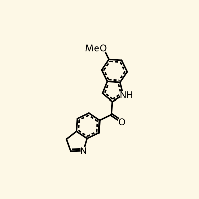 COc1ccc2[nH]c(C(=O)c3ccc4c(c3)N=CC4)cc2c1